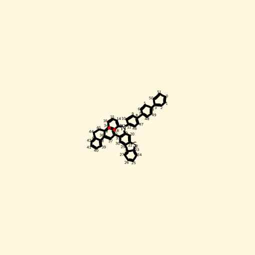 c1ccc(-c2ccc(-c3ccc(N(c4ccccc4)c4cc5sc6ccccc6c5cc4-c4ccc5c(c4)-c4ccccc4CC5)cc3)cc2)cc1